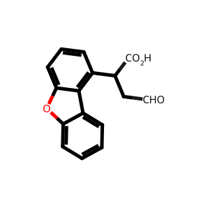 O=CCC(C(=O)O)c1cccc2oc3ccccc3c12